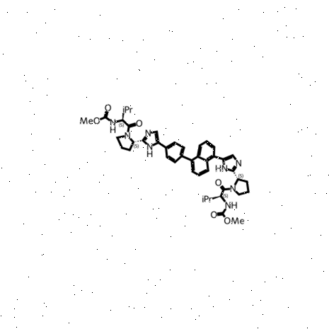 COC(=O)N[C@H](C(=O)N1CCC[C@H]1c1ncc(-c2ccc(-c3cccc4c(-c5cnc([C@@H]6CCCN6C(=O)[C@@H](NC(=O)OC)C(C)C)[nH]5)cccc34)cc2)[nH]1)C(C)C